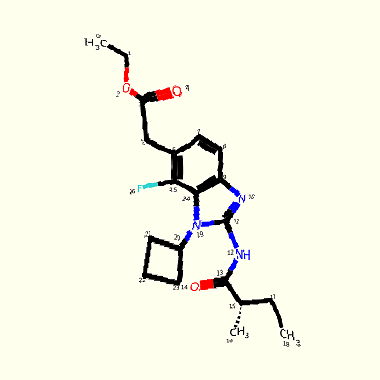 CCOC(=O)Cc1ccc2nc(NC(=O)[C@@H](C)CC)n(C3CCC3)c2c1F